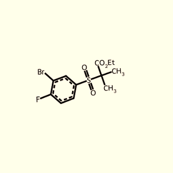 CCOC(=O)C(C)(C)S(=O)(=O)c1ccc(F)c(Br)c1